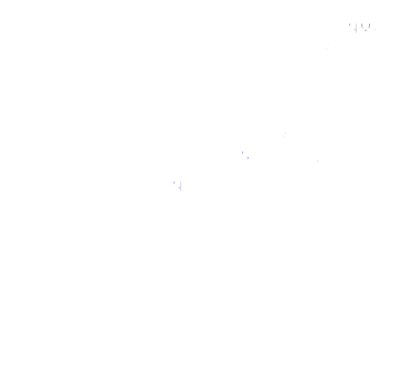 CNC(=O)COC(=O)N1CCN(CCc2cccc3ccccc23)CC1